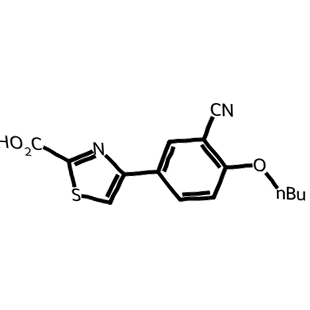 CCCCOc1ccc(-c2csc(C(=O)O)n2)cc1C#N